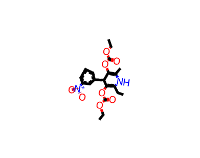 CCOC(=O)OC1=C(C)NC(CC)=C(OC(=O)OCC)C1c1cccc([N+](=O)[O-])c1